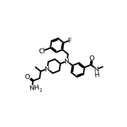 CNC(=O)c1cccc(N(Cc2cc(Cl)ccc2F)C2CCN(C(C)CC(N)=O)CC2)c1